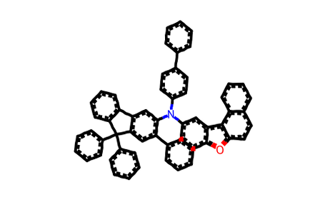 c1ccc(-c2ccc(N(c3ccc4oc5ccc6ccccc6c5c4c3)c3cc4c(cc3-c3ccccc3)C(c3ccccc3)(c3ccccc3)c3ccccc3-4)cc2)cc1